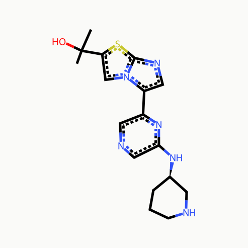 CC(C)(O)c1cn2c(-c3cncc(N[C@@H]4CCCNC4)n3)cnc2s1